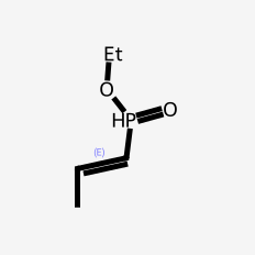 C/C=C/[PH](=O)OCC